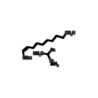 CCC(C(C)=O)C(=O)O.CCCCCCCC/C=C\CCCCCCCC(=O)O.[AlH3]